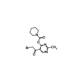 Cc1ncc(C(=O)CBr)c(OC(=O)N2CCCCC2)n1